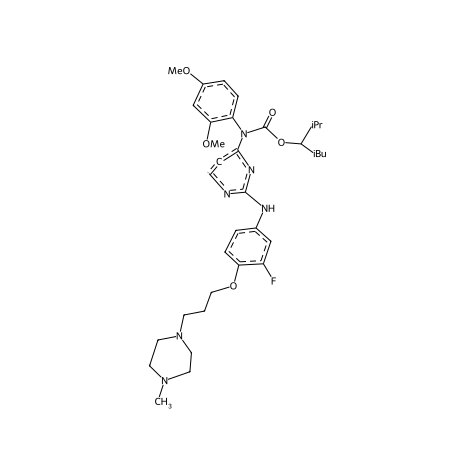 CCC(C)C(OC(=O)N(c1ccnc(Nc2ccc(OCCCN3CCN(C)CC3)c(F)c2)n1)c1ccc(OC)cc1OC)C(C)C